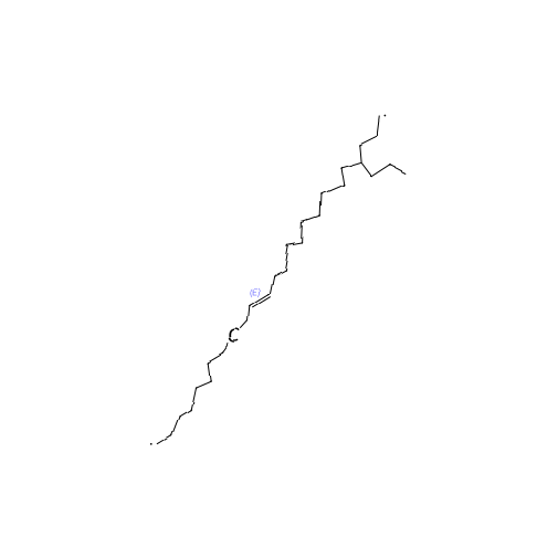 [CH2]CCCCCCCCC/C=C/CCCCCCCCCC(CC[CH2])CCC